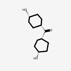 O=C([C@H]1CC[C@@H](O)CC1)[C@H]1CC[C@@H](O)CC1